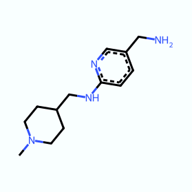 CN1CCC(CNc2ccc(CN)cn2)CC1